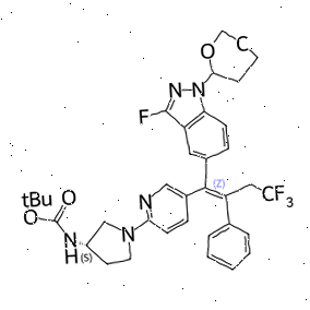 CC(C)(C)OC(=O)N[C@H]1CCN(c2ccc(/C(=C(/CC(F)(F)F)c3ccccc3)c3ccc4c(c3)c(F)nn4C3CCCCO3)cn2)C1